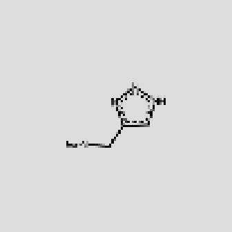 CNCc1c[nH]nn1